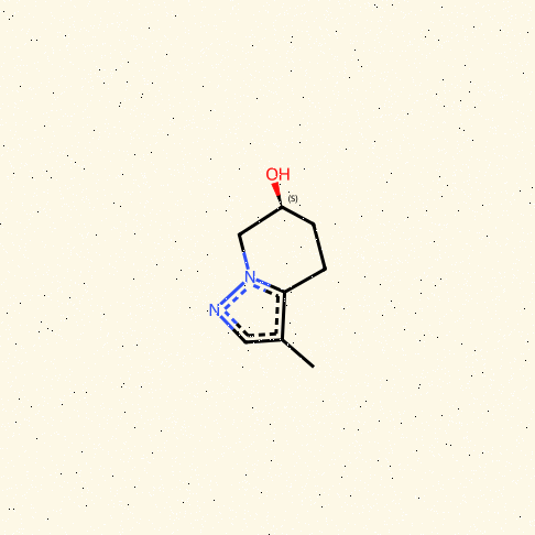 Cc1cnn2c1CC[C@H](O)C2